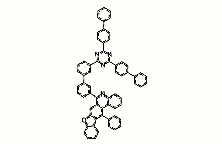 c1ccc(-c2ccc(-c3nc(-c4ccc(-c5ccccc5)cc4)nc(-c4cccc(-c5cccc(-c6nc7ccccc7c7c(-c8ccccc8)c8c(cc67)oc6ccccc68)c5)c4)n3)cc2)cc1